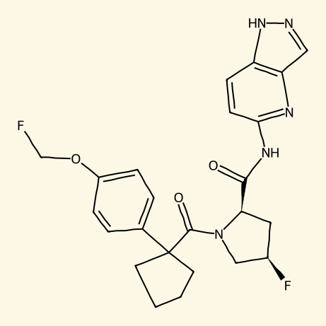 O=C(Nc1ccc2[nH]ncc2n1)[C@H]1C[C@@H](F)CN1C(=O)C1(c2ccc(OCF)cc2)CCCC1